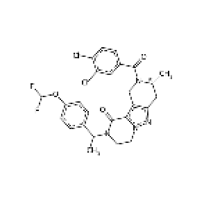 CC(c1ccc(OC(F)F)cc1)N1CCn2nc3c(c2C1=O)CN(C(=O)c1ccc(Cl)c(Cl)c1)[C@H](C)C3